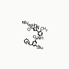 Cc1ccc(NC(=O)c2cc(CN3CCCC3)cc(C(C)(C)C)c2)cc1-c1cc(C(=O)NCC(C)(C)C)on1